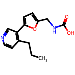 CCCc1ccncc1-c1ccc(CNC(=O)O)o1